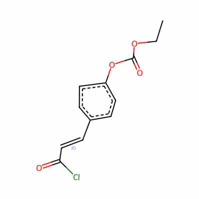 CCOC(=O)Oc1ccc(/C=C/C(=O)Cl)cc1